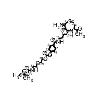 CC(=O)C1CSSCC(N)C(=O)[C@H](CCCCNC(=O)c2ccc(OC(=O)OCCOCCNC(=O)OC(C)(C)C)cc2)N1